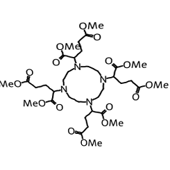 COC(=O)CCC(C(=O)OC)N1CCN(C(CCC(=O)OC)C(=O)OC)CCN(C(CCC(=O)OC)C(=O)OC)CCN(C(CCC(=O)OC)C(=O)OC)CC1